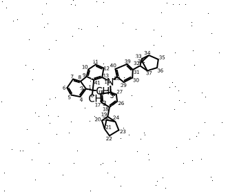 CC1(C)c2ccccc2-c2cccc(N(c3ccc(C4CC5CCC4C5)cc3)c3ccc(C4CC5CCC4C5)cc3)c21